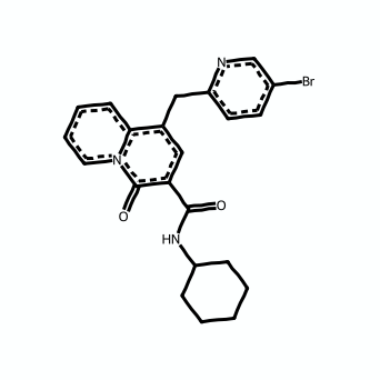 O=C(NC1CCCCC1)c1cc(Cc2ccc(Br)cn2)c2ccccn2c1=O